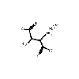 NC(C(=O)[O-])C(N)C(=O)[O-].[Na+].[Na+]